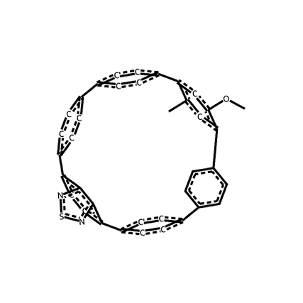 COc1cc2c(C)cc1-c1ccc(cc1)-c1ccc(cc1)-c1ccc(c3nsnc13)-c1ccc(cc1)-c1ccc-2cc1